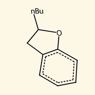 CCCCC1Cc2ccccc2O1